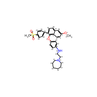 COc1ccc2c(Oc3ccc(NCCN4CCCCCC4)cc3)c(-c3ccc(S(C)(=O)=O)cc3)ccc2c1